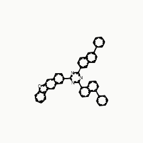 c1ccc(-c2ccc3cc(-c4nc(-c5ccc6cc7oc8ccccc8c7cc6c5)nc(-c5cccc6c(-c7ccccc7)cccc56)n4)ccc3c2)cc1